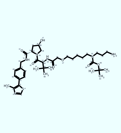 Cc1ncsc1-c1ccc(CNC(=O)[C@@H]2C[C@@H](O)CN2C(=O)[C@@H](NC(=O)COCCCCCN(CCCN)C(=O)OC(C)(C)C)C(C)(C)C)cc1